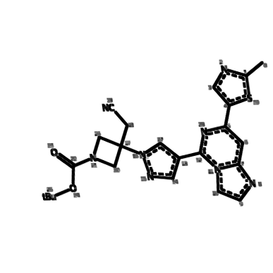 Cc1ncc(-c2cc3nccn3c(-c3cnn(C4(CC#N)CN(C(=O)OC(C)(C)C)C4)c3)n2)s1